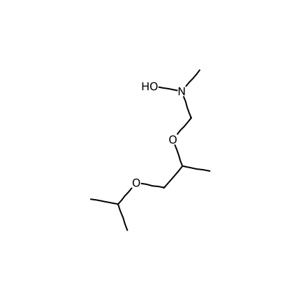 CC(C)OCC(C)OCN(C)O